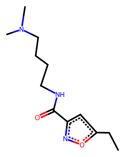 CCc1cc(C(=O)NCCCCN(C)C)no1